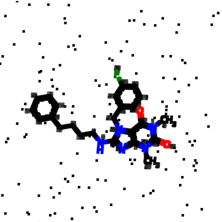 Cn1c(=O)c2c(nc(NCCCCc3ccccc3)n2Cc2cccc(F)c2)n(C)c1=O